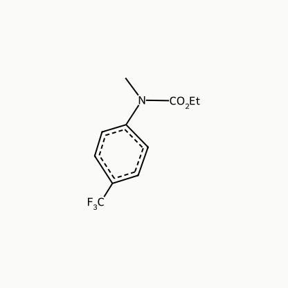 [CH2]COC(=O)N(C)c1ccc(C(F)(F)F)cc1